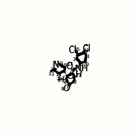 CO[C@H]1C[C@H]2O[C@@H]1[C@H](c1ccnc(C)c1)[C@H]2C(=O)Nc1ccc(Cl)c(Cl)c1